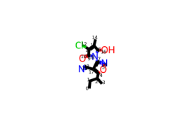 CCC(C)c1onc(N2C(=O)C(Cl)=C(C)C2O)c1C#N